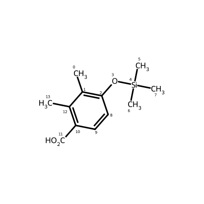 Cc1c(O[Si](C)(C)C)ccc(C(=O)O)c1C